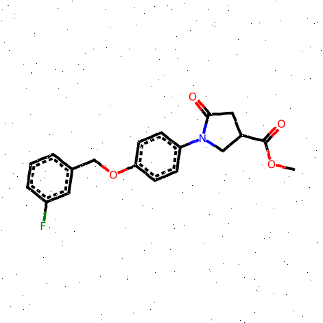 COC(=O)C1CC(=O)N(c2ccc(OCc3cccc(F)c3)cc2)C1